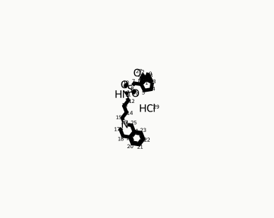 CC1(C)C2CCC1(CS(=O)(=O)NCCCCN1CCc3ccccc3C1)C(=O)C2.Cl